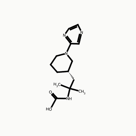 CC(C)(C[C@@H]1CCCN(c2cnccn2)C1)NC(=O)O